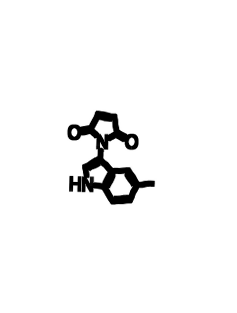 Cc1ccc2[nH]cc(N3C(=O)C=CC3=O)c2c1